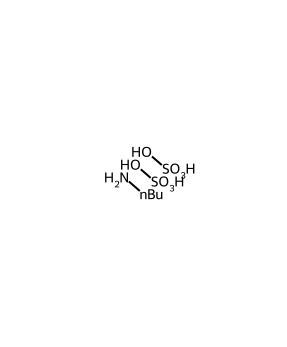 CCCCN.O=S(=O)(O)O.O=S(=O)(O)O